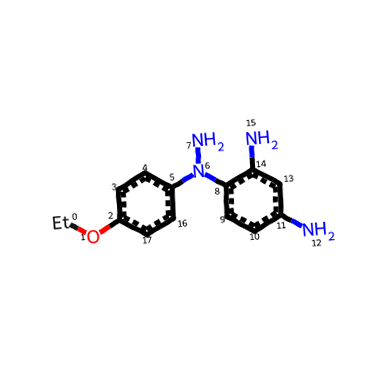 CCOc1ccc(N(N)c2ccc(N)cc2N)cc1